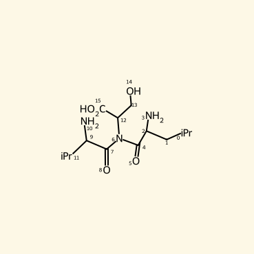 CC(C)CC(N)C(=O)N(C(=O)C(N)C(C)C)C(CO)C(=O)O